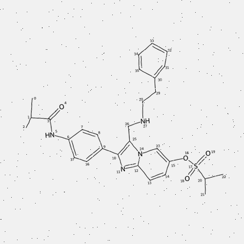 CC(C)C(=O)Nc1ccc(-c2nc3ccc(OS(=O)(=O)C(C)C)cn3c2CNCCc2ccccc2)cc1